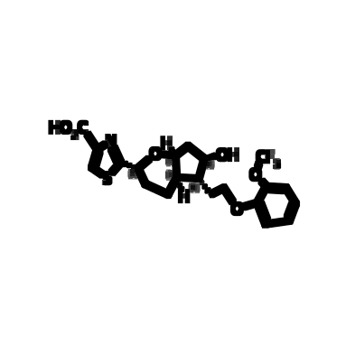 O=C(O)c1csc([C@H]2CC[C@@H]3[C@@H](CCOc4ccccc4OC(F)(F)F)[C@H](O)C[C@@H]3O2)n1